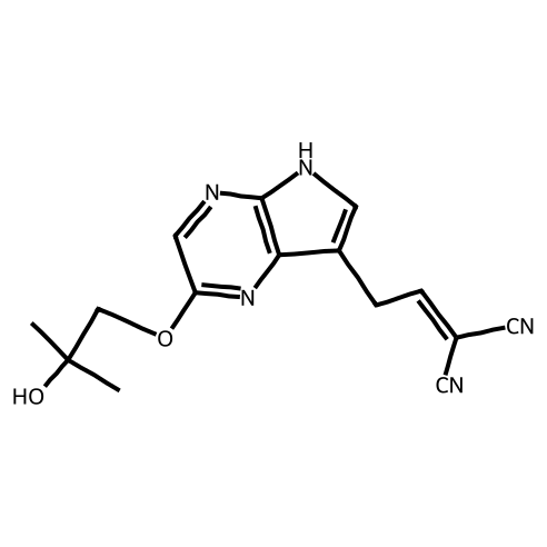 CC(C)(O)COc1cnc2[nH]cc(CC=C(C#N)C#N)c2n1